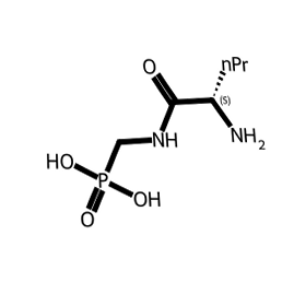 CCC[C@H](N)C(=O)NCP(=O)(O)O